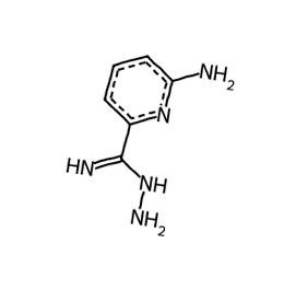 N=C(NN)c1cccc(N)n1